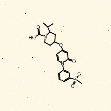 CC(C)C1CC(Oc2ccn(-c3cccc(S(C)(=O)=O)c3)c(=O)c2)CCN1C(=O)O